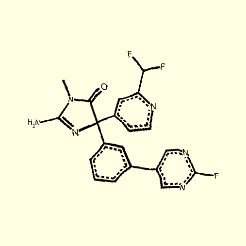 CN1C(=O)C(c2cccc(-c3cnc(F)nc3)c2)(c2ccnc(C(F)F)c2)N=C1N